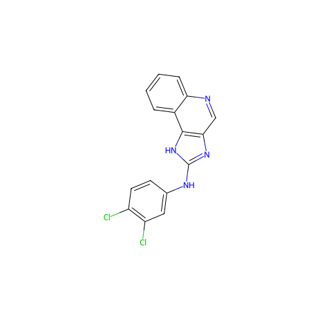 Clc1ccc(Nc2nc3cnc4ccccc4c3[nH]2)cc1Cl